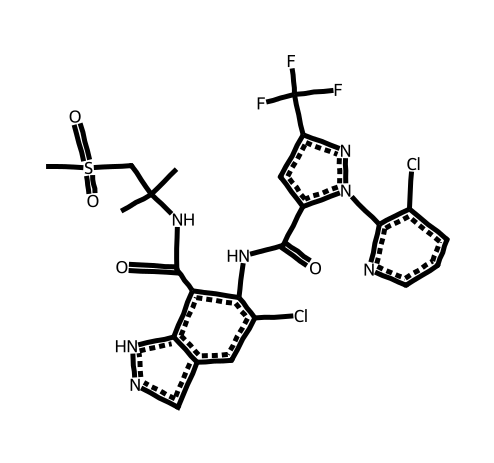 CC(C)(CS(C)(=O)=O)NC(=O)c1c(NC(=O)c2cc(C(F)(F)F)nn2-c2ncccc2Cl)c(Cl)cc2cn[nH]c12